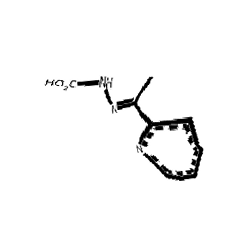 CC(=NNC(=O)O)c1ccccn1